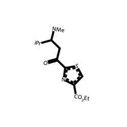 CCOC(=O)c1csc(C(=O)CC(NC)C(C)C)n1